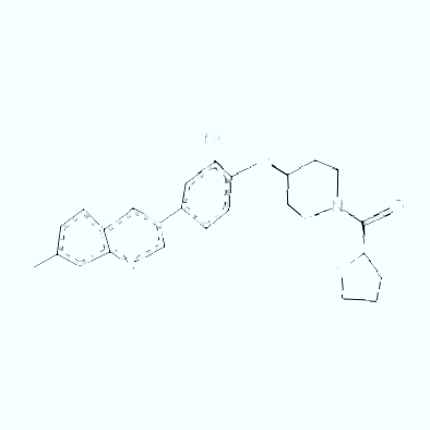 Cc1ccc2cc(-c3ccc(OC4CCN(C(=O)[C@H]5CCCO5)CC4)cc3)cnc2c1.Cl